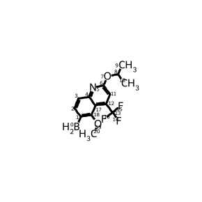 Bc1ccc2nc(OC(C)C)cc(C(F)(F)F)c2c1OC